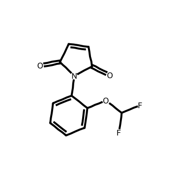 O=C1C=CC(=O)N1c1ccccc1OC(F)F